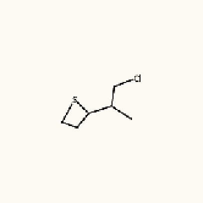 CC(CCl)C1CCS1